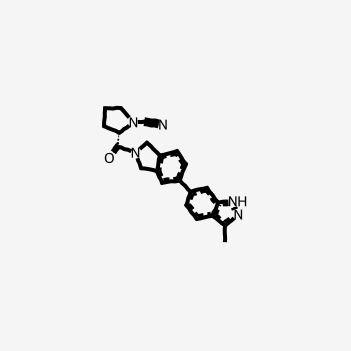 Cc1n[nH]c2cc(-c3ccc4c(c3)CN(C(=O)[C@@H]3CCCN3C#N)C4)ccc12